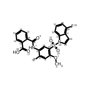 COc1cc(F)c(NC(=O)c2ccccc2C(=O)O)cc1S(=O)(=O)n1ccc2c(F)cccc21